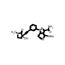 CNc1nccc2c1c(C(N)=O)nn2-c1cccc(C#C[C@]2(O)CCN(C)C2=O)c1